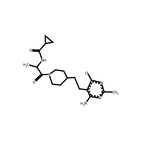 Cc1nc(N)c(CCC2CCN(C(=O)C(C)NC(=O)C3CC3)CC2)c(Cl)n1